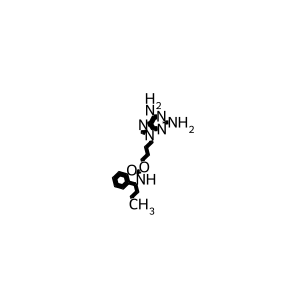 CCCC(NC(=O)OCCCCn1cnc2c(N)nc(N)nc21)c1ccccc1